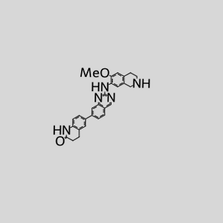 COc1cc2c(cc1Nc1ncc3ccc(-c4ccc5c(c4)CCC(=O)N5)cc3n1)CNCC2